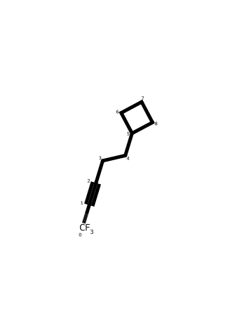 FC(F)(F)C#CCCC1CCC1